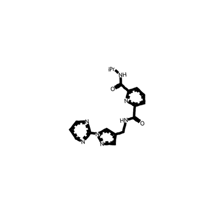 CC(C)NC(=O)c1cccc(C(=O)NCc2cnn(-c3ncccn3)c2)n1